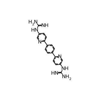 N=C(N)Nc1ccc(-c2ccc(-c3ccc(NC(=N)N)cn3)cc2)nc1